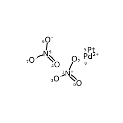 O=[N+]([O-])[O-].O=[N+]([O-])[O-].[Pd+2].[Pt]